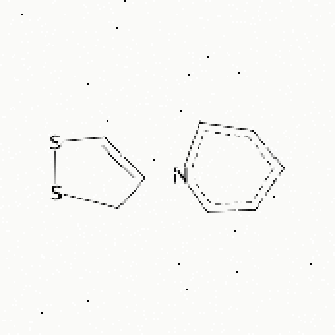 C1=CSSC1.c1ccncc1